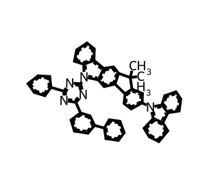 CC1(C)c2cc(-n3c4ccccc4c4ccccc43)ccc2-c2cc3c(cc21)c1ccccc1n3-c1nc(-c2ccccc2)nc(-c2cccc(-c3ccccc3)c2)n1